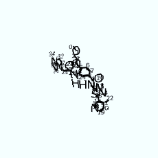 COCCOc1ccc(C(=O)Nc2nnc(-c3cnccc3C)s2)cc1NC(=O)CN1CCN(C)CC1